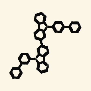 c1ccc(-c2ccc(-n3c4ccccc4c4ccc(-c5ccc6c7ncccc7n(-c7cccc(-c8ccccc8)c7)c6c5)cc43)cc2)cc1